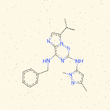 Cc1cc(Nc2nc(NCc3ccccc3)c3ncc(C(C)C)n3n2)n(C)n1